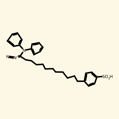 [N-]=[N+]=C(CCCCCCCCCCCc1ccc(S(=O)(=O)O)cc1)N(c1ccccc1)c1ccccc1